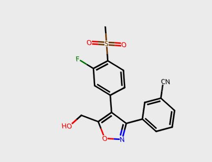 CS(=O)(=O)c1ccc(-c2c(-c3cccc(C#N)c3)noc2CO)cc1F